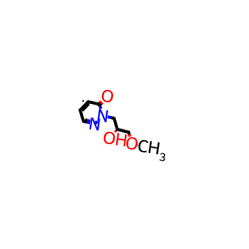 COC[C@@H](O)Cn1ncc[c]c1=O